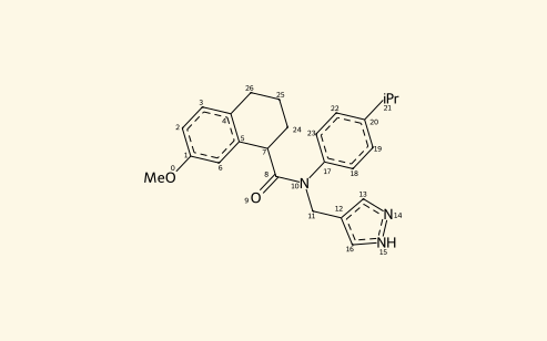 COc1ccc2c(c1)C(C(=O)N(Cc1cn[nH]c1)c1ccc(C(C)C)cc1)CCC2